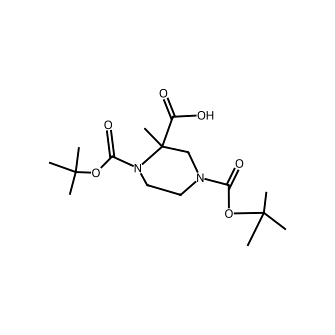 CC(C)(C)OC(=O)N1CCN(C(=O)OC(C)(C)C)C(C)(C(=O)O)C1